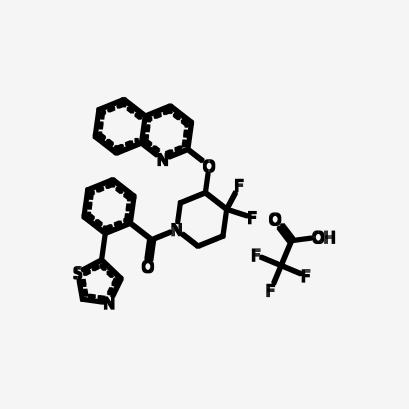 O=C(O)C(F)(F)F.O=C(c1ccccc1-c1cncs1)N1CCC(F)(F)C(Oc2ccc3ccccc3n2)C1